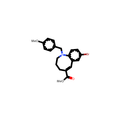 COC(=O)/C1=C/c2cc(Br)ccc2N(Cc2ccc(OC)cc2)CCC1